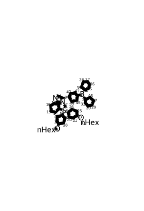 CCCCCCOc1ccc([Si](Cn2ccnc2)(c2ccccc2)c2ccc(OCCCCCC)cc2)cc1.c1ccc(B(c2ccccc2)c2ccccc2)cc1